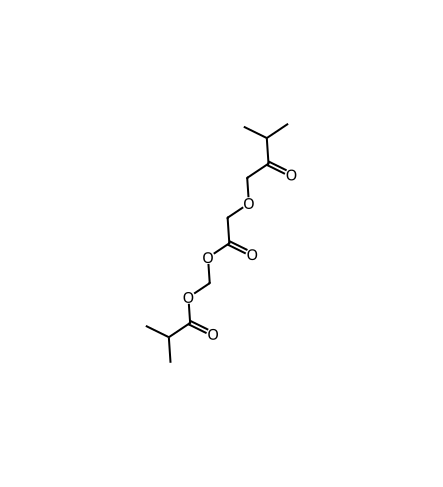 CC(C)C(=O)COCC(=O)OCOC(=O)C(C)C